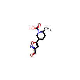 CC1CCC(c2cc(C=O)no2)CN1C(=O)O